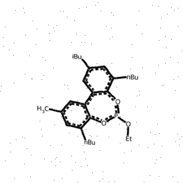 CCCCc1cc(C)cc2c1op(OCC)oc1c(CCCC)cc(C(C)CC)cc12